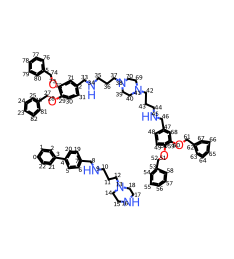 c1ccc(-c2ccc(CNCCCN3CCNCC3)cc2)cc1.c1ccc(COc2ccc(CNCCCN3CCN(CCCNCc4ccc(OCc5ccccc5)c(OCc5ccccc5)c4)CC3)cc2OCc2ccccc2)cc1